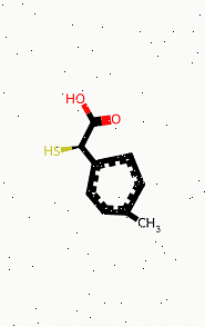 Cc1ccc([C@@H](S)C(=O)O)cc1